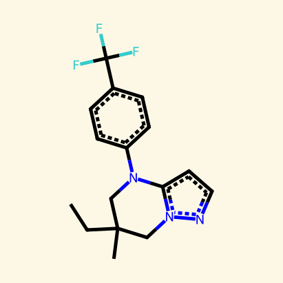 CCC1(C)CN(c2ccc(C(F)(F)F)cc2)c2ccnn2C1